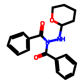 O=C(c1ccccc1)N(NC1CCCCO1)C(=O)c1ccccc1